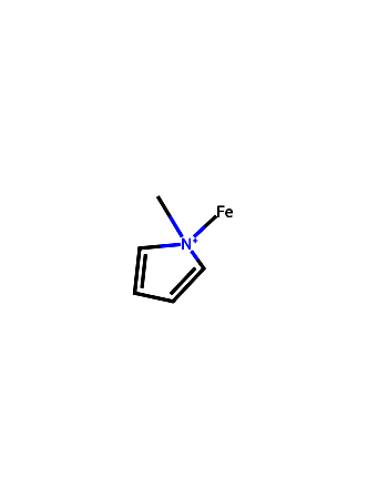 C[N+]1([Fe])C=CC=C1